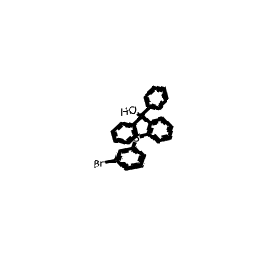 OC(c1ccccc1)(c1ccccc1)c1ccccc1Sc1cccc(Br)c1